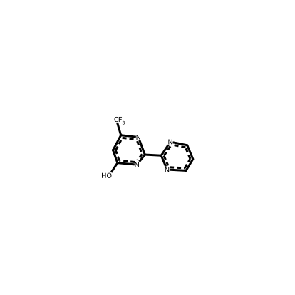 Oc1cc(C(F)(F)F)nc(-c2ncccn2)n1